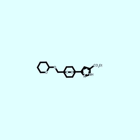 CCOC(=O)c1cc(C23CCC(COC4CCCCO4)(CC2)CO3)n[nH]1